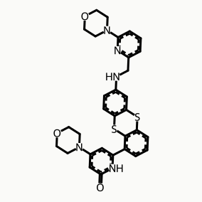 O=c1cc(N2CCOCC2)cc(-c2cccc3c2Sc2ccc(NCc4cccc(N5CCOCC5)n4)cc2S3)[nH]1